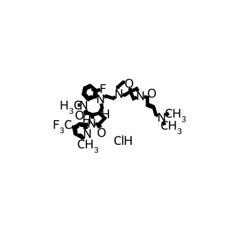 Cc1cc(C(F)(F)F)cc(N2C(=O)C[C@@H]3CN(CCN4CCOC5(C4)CN(C(=O)/C=C/CN(C)C)C5)c4c(F)cccc4N(C)C(=O)[C@H]32)n1.Cl